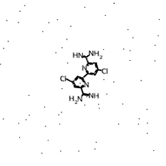 N=C(N)c1cc(Cl)cc(-c2cc(Cl)cc(C(=N)N)n2)n1